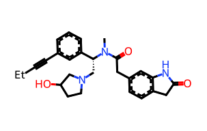 CCC#Cc1cccc([C@@H](CN2CCC(O)C2)N(C)C(=O)Cc2ccc3c(c2)NC(=O)C3)c1